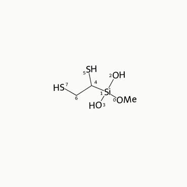 CO[Si](O)(O)C(S)CS